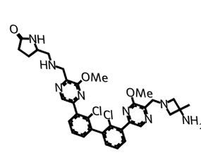 COc1nc(-c2cccc(-c3cccc(-c4cnc(CN5CC(C)(N)C5)c(OC)n4)c3Cl)c2Cl)cnc1CNCC1CCC(=O)N1